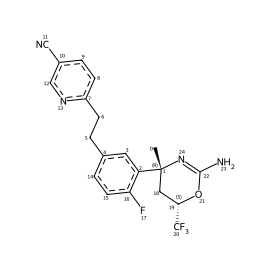 C[C@]1(c2cc(CCc3ccc(C#N)cn3)ccc2F)C[C@@H](C(F)(F)F)OC(N)=N1